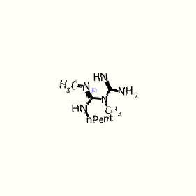 CCCCCN/C(=N\C)N(C)C(=N)N